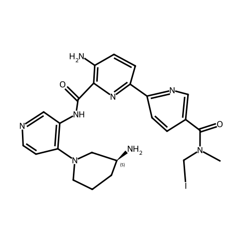 CN(CI)C(=O)c1ccc(-c2ccc(N)c(C(=O)Nc3cnccc3N3CCC[C@H](N)C3)n2)nc1